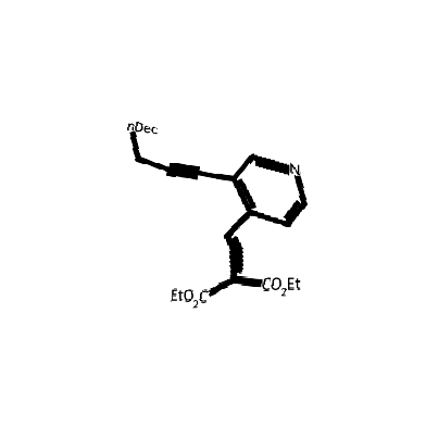 CCCCCCCCCCCC#Cc1cnccc1C=C(C(=O)OCC)C(=O)OCC